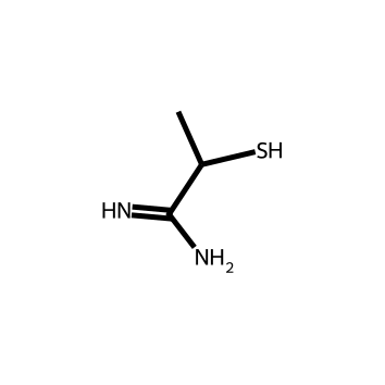 CC(S)C(=N)N